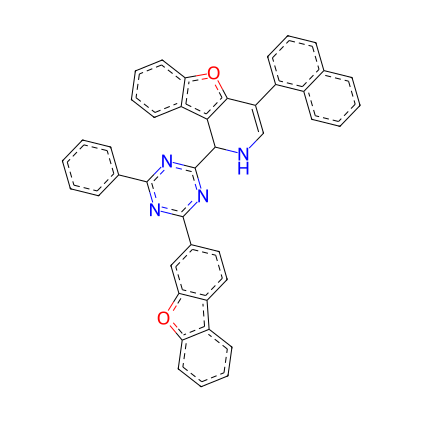 C1=C(c2cccc3ccccc23)c2oc3ccccc3c2C(c2nc(-c3ccccc3)nc(-c3ccc4c(c3)oc3ccccc34)n2)N1